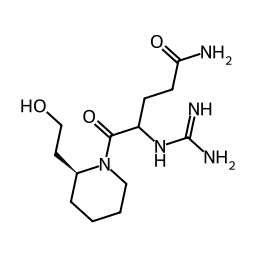 N=C(N)NC(CCC(N)=O)C(=O)N1CCCC[C@H]1CCO